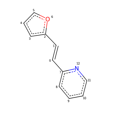 C(=Cc1ccco1)c1ccccn1